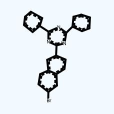 Brc1ccc2cc(-c3nc(-c4ccccc4)nc(-c4ccccc4)n3)ccc2c1